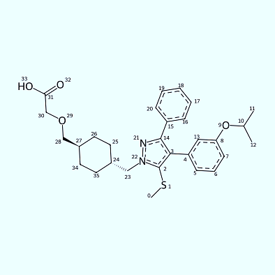 CSc1c(-c2cccc(OC(C)C)c2)c(-c2ccccc2)nn1C[C@H]1CC[C@H](COCC(=O)O)CC1